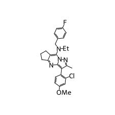 CCN(Cc1ccc(F)cc1)c1c2c(nc3c(-c4ccc(OC)cc4Cl)c(C)nn13)CCC2